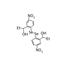 CCC(O)c1cc([N+](=O)[O-])ccc1[Se][Se]c1ccc([N+](=O)[O-])cc1C(O)CC